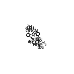 [2H]C([2H])([2H])N1C(=O)c2cccc(C#C[Si](C(C)C)(C(C)C)C(C)C)c2[C@H]2C[C@@H]1c1nc3ccc(-c4cnc(C(C)(C)N[S+]([O-])C(C)(C)C)s4)cc3n12